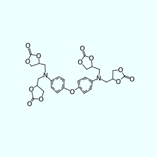 O=C1OCC(CN(CC2COC(=O)O2)c2ccc(Oc3ccc(N(CC4COC(=O)O4)CC4COC(=O)O4)cc3)cc2)O1